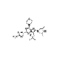 CC1CN(c2nc3c(N4CCOCC4)nc(-c4cnc(N)nc4)nc3n2CC(F)(F)F)CC(C)N1